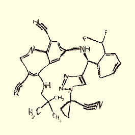 CC(C)(C)CNc1c(C#N)cnc2c(C#N)cc(N[C@H](c3cn(C4(C#N)CC4)nn3)c3ccccc3C(F)F)cc12